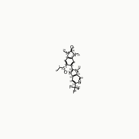 CC[S+]([O-])c1cc2c(cc1-c1nc3cc(C(F)(F)F)ncc3n1C)n(C)c(=O)n2C